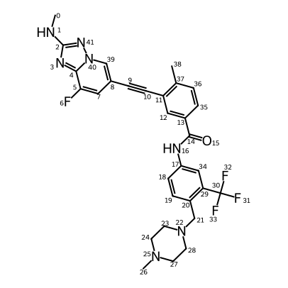 CNc1nc2c(F)cc(C#Cc3cc(C(=O)Nc4ccc(CN5CCN(C)CC5)c(C(F)(F)F)c4)ccc3C)cn2n1